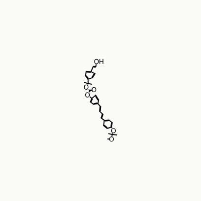 COC(C)(C)Oc1ccc(C=CC=Cc2ccc(OC(=O)OC(C)(C)c3ccc(C=CO)cc3)cc2)cc1